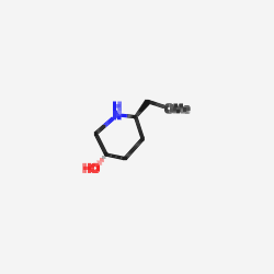 COC[C@H]1CC[C@H](O)CN1